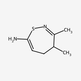 CC1=NSC(N)=CCC1C